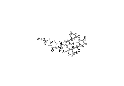 COC(=O)CN(CCNC(=O)c1c[nH]c(-c2cc(Oc3cc(C(=O)Nc4cc(C)ccc4F)ccc3F)ccn2)c1)CC(=O)OC